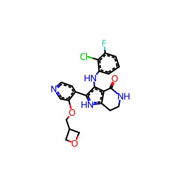 O=C1NCCc2[nH]c(-c3ccncc3OCC3COC3)c(Nc3cccc(F)c3Cl)c21